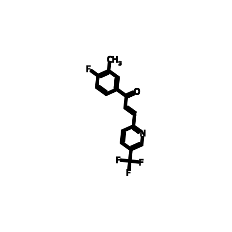 Cc1cc(C(=O)C=Cc2ccc(C(F)(F)F)cn2)ccc1F